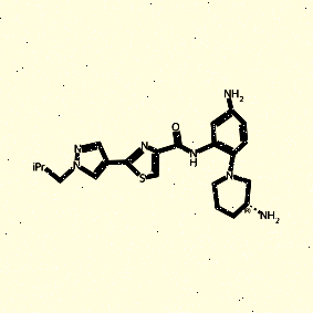 CC(C)Cn1cc(-c2nc(C(=O)Nc3cc(N)ccc3N3CCC[C@@H](N)C3)cs2)cn1